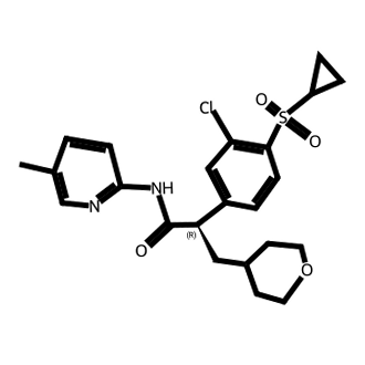 Cc1ccc(NC(=O)[C@H](CC2CCOCC2)c2ccc(S(=O)(=O)C3CC3)c(Cl)c2)nc1